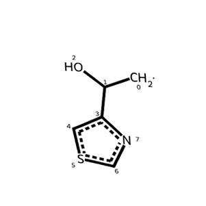 [CH2]C(O)c1cscn1